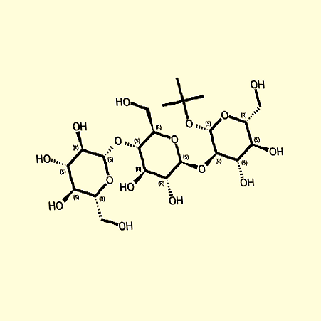 CC(C)(C)O[C@@H]1O[C@H](CO)[C@@H](O)[C@H](O)[C@H]1O[C@@H]1O[C@H](CO)[C@@H](O[C@@H]2O[C@H](CO)[C@@H](O)[C@H](O)[C@H]2O)[C@H](O)[C@H]1O